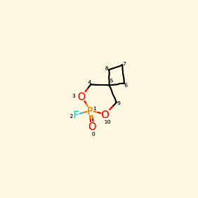 O=P1(F)OCC2(CCC2)CO1